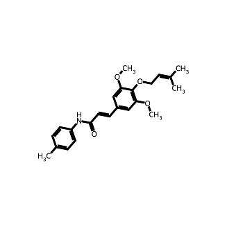 COc1cc(/C=C/C(=O)Nc2ccc(C)cc2)cc(OC)c1OCC=C(C)C